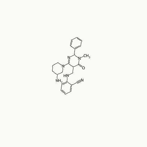 CN1C(=O)C(CNc2ccccc2C#N)C(N2CCCC(N)C2)=NC1c1ccccc1